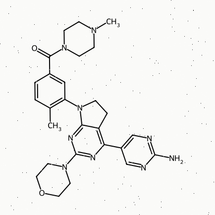 Cc1ccc(C(=O)N2CCN(C)CC2)cc1N1CCc2c(-c3cnc(N)nc3)nc(N3CCOCC3)nc21